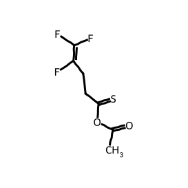 CC(=O)OC(=S)CCC(F)=C(F)F